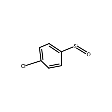 O=[S+]c1ccc(Cl)cc1